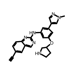 C#Cc1ccc2nc(Nc3cc(OC4CCNC4)cc(-c4cnn(C)c4)c3)ncc2c1